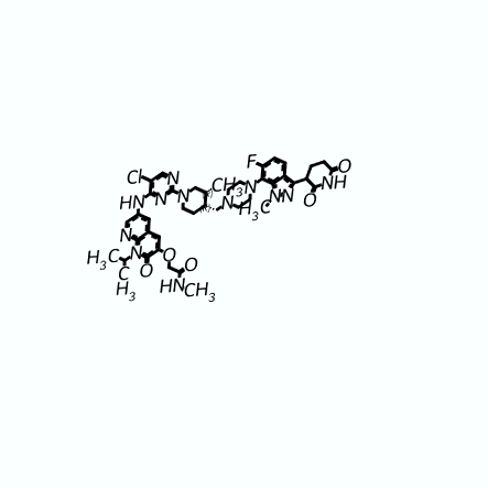 CNC(=O)COc1cc2cc(Nc3nc(N4CC[C@@H](CN5CCN(c6c(F)ccc7c(C8CCC(=O)NC8=O)nn(C)c67)CC5)[C@@H](C)C4)ncc3Cl)cnc2n(C(C)C)c1=O